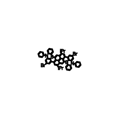 CC(C)c1cc2c3c(cc4c(C(C)C)cc5c6c(cc1c3c46)B1c3ccccc3N(c3ccccc3)c3cc(Br)cc-5c31)B1c3ccccc3N(c3ccccc3)c3cc(Br)cc-2c31